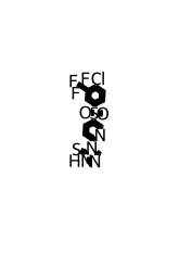 O=S(=O)(c1ccc(-n2cn[nH]c2=S)nc1)c1ccc(Cl)c(C(F)(F)F)c1